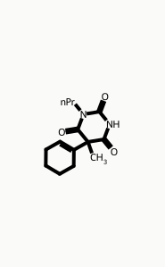 CCCN1C(=O)NC(=O)C(C)(C2=CCCCC2)C1=O